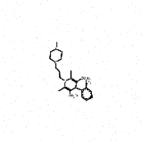 CCOC(=O)C1=C(C)N(CCCN2CCN(C)CC2)C(C)=C(C(=O)OCC)C1c1ccccc1C(F)(F)F